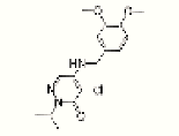 COc1ccc(CNc2cnn(C(C)C)c(=O)c2Cl)cc1OC